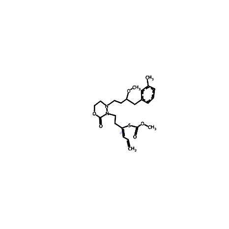 C=C/C=C(/CCN1C(=O)OCCN1CCC(Cc1cccc(C)c1)OC)SC(=O)OC